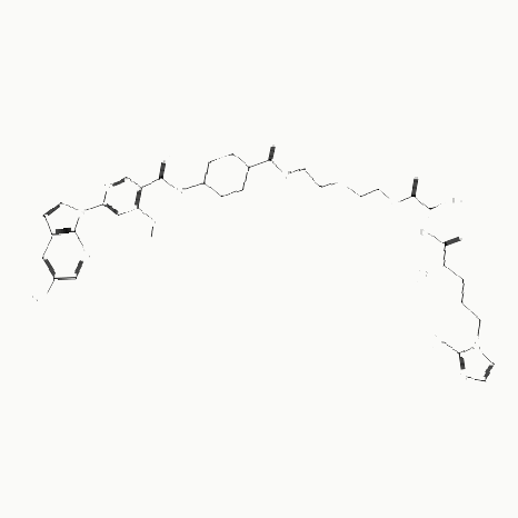 CC[C@H](C)[C@H](NC(=O)[C@@H](N)CCCn1ccnc1N)C(=O)OCCOCCNC(=O)C1CCC(NC(=O)c2cnc(-n3ccc4cc(C#N)cnc43)cc2NC(C)C)CC1